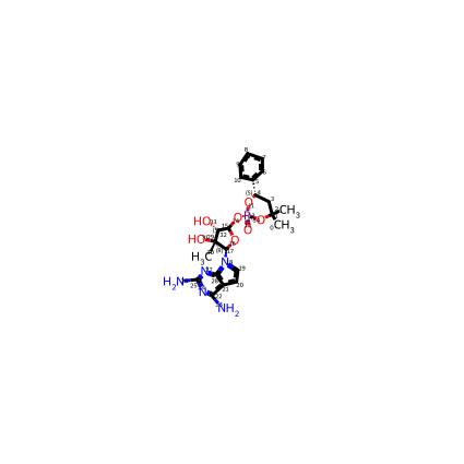 CC1(C)C[C@@H](c2ccccc2)O[P@@](=O)(OC2O[C@@H](n3ccc4c(N)nc(N)nc43)[C@](C)(O)[C@@H]2O)O1